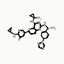 C[C@@H](Nc1nc(NC2(C(F)(F)F)CC2)c2nc(-c3cnc(NC4CC4)c(F)c3)ccc2n1)C1=CCC(n2cncn2)C=C1